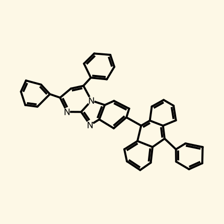 c1ccc(-c2cc(-c3ccccc3)n3c(n2)nc2cc(-c4c5ccccc5c(-c5ccccc5)c5ccccc45)ccc23)cc1